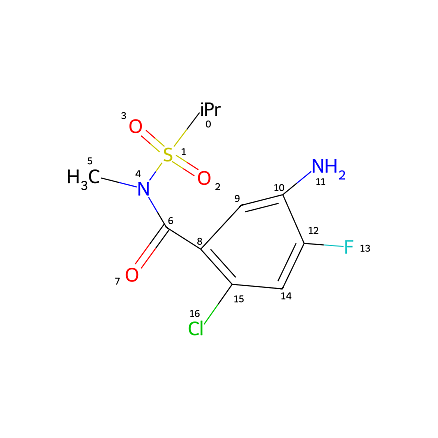 CC(C)S(=O)(=O)N(C)C(=O)c1cc(N)c(F)cc1Cl